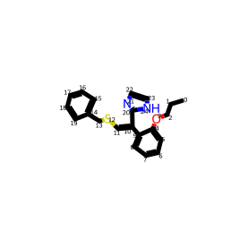 CCCOc1ccccc1C(=CSCc1ccccc1)c1ncc[nH]1